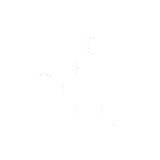 CCCCCCC(=Cc1ccc(F)cc1)/C=C/CO